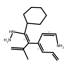 C=C/C=C(\C=C/N)C(/C(=C)C)=C(/NN)C1CCCCC1